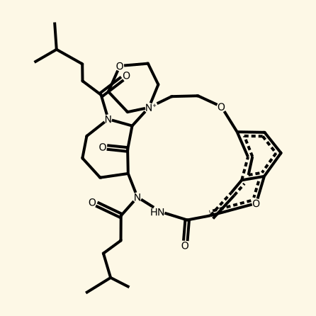 CC(C)CCC(=O)N1CCCC2C(=O)C1[N+]1(CCOCC1)CCOc1ccc3oc(cc3c1)C(=O)NN2C(=O)CCC(C)C